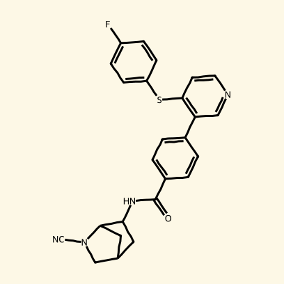 N#CN1CC2CC(NC(=O)c3ccc(-c4cnccc4Sc4ccc(F)cc4)cc3)C1C2